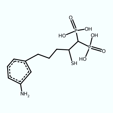 Nc1cccc(CCCC(S)C(P(=O)(O)O)P(=O)(O)O)c1